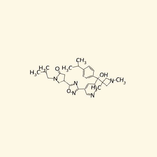 CC(C)CN1CC(c2nc(-c3cncc(C(O)(c4ccc(C(C)C)cc4)C4(C)CN(C)C4)c3)no2)CC1=O